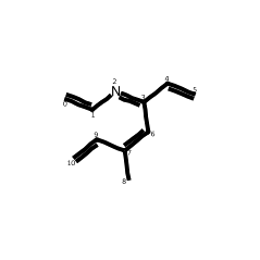 C=C/N=C(C=C)\C=C(\C)C=C